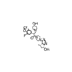 C[C@@H]1C[C@@H](O)c2ncnc(N3CCN(C(=O)C(CN4CCC(O)CC4)c4ccc(OC(F)(F)F)c(F)c4)CC3)c21